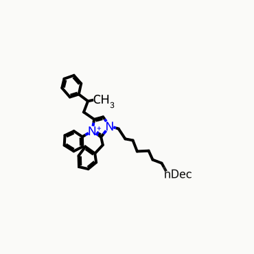 CCCCCCCCCCCCCCCCCn1cc(CC(C)c2ccccc2)[n+](-c2ccccc2)c1Cc1ccccc1